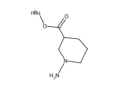 CCCCOC(=O)C1CCCN(N)C1